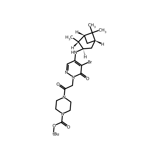 C[C@@H]1[C@H]2C[C@@H](C[C@H]1Nc1cnn(CC(=O)N3CCN(C(=O)OC(C)(C)C)CC3)c(=O)c1Br)C2(C)C